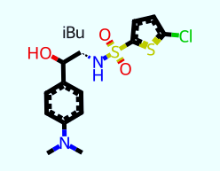 CC[C@H](C)[C@H](NS(=O)(=O)c1ccc(Cl)s1)C(O)c1ccc(N(C)C)cc1